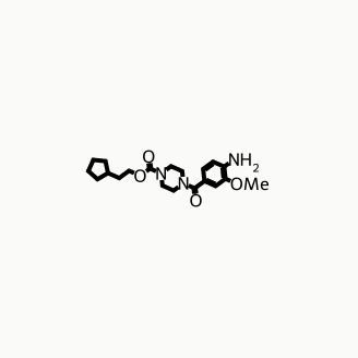 COc1cc(C(=O)N2CCN(C(=O)OCCC3CCCC3)CC2)ccc1N